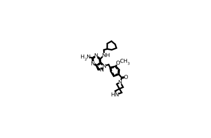 COc1cc(C(=O)N2CC3(CNC3)C2)ccc1Cn1ncc2nc(N)nc(NCC3CCCCC3)c21